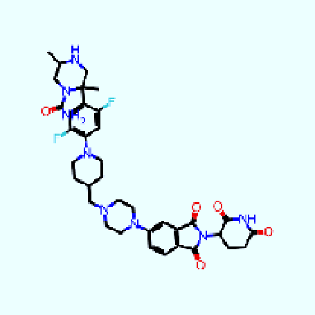 CC1CN(C(N)=O)C(C)(c2cc(F)c(N3CCC(CN4CCN(c5ccc6c(c5)C(=O)N(C5CCC(=O)NC5=O)C6=O)CC4)CC3)cc2F)CN1